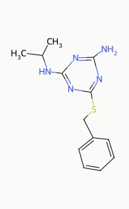 CC(C)Nc1nc(N)nc(SCc2ccccc2)n1